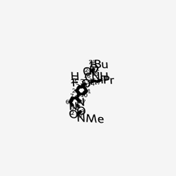 CNC(=O)Oc1nccc(-c2ccc(OC[C@](C)(CC(C)C)NC(=O)OC(C)(C)C)c(F)c2)n1